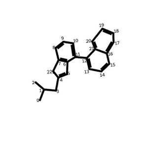 CC(C)CC1=Cc2c(cccc2-c2cccc3ccccc23)[CH]1